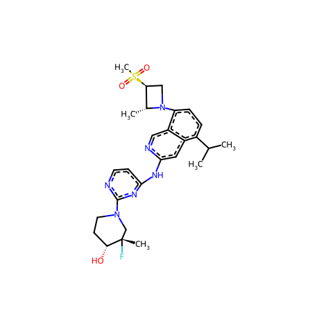 CC(C)c1ccc(N2C[C@H](S(C)(=O)=O)[C@H]2C)c2cnc(Nc3ccnc(N4CC[C@@H](O)[C@@](C)(F)C4)n3)cc12